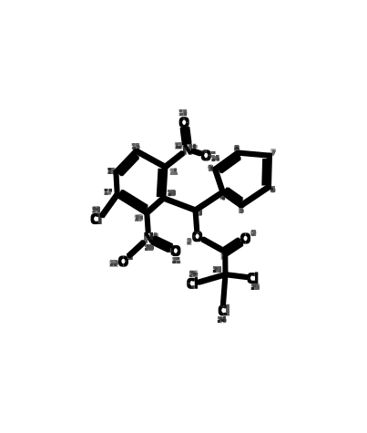 O=C(OC(c1ccccc1)c1c([N+](=O)[O-])ccc(Cl)c1[N+](=O)[O-])C(Cl)(Cl)Cl